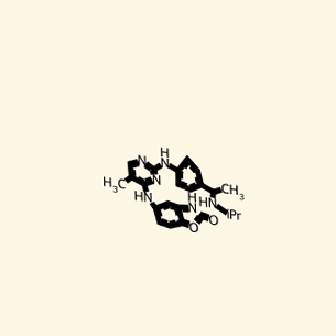 Cc1cnc(Nc2ccc(C(C)NC(C)C)cc2)nc1Nc1ccc2oc(=O)[nH]c2c1